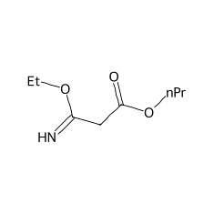 CCCOC(=O)CC(=N)OCC